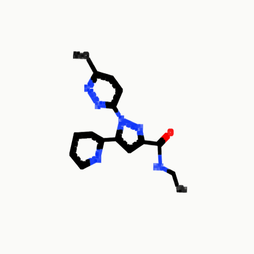 COc1ccc(-n2nc(C(=O)NCC(C)(C)C)cc2-c2ccccn2)nn1